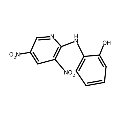 O=[N+]([O-])c1cnc(Nc2ccccc2O)c([N+](=O)[O-])c1